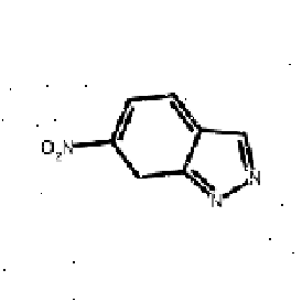 O=[N+]([O-])C1=CC=C2C=NN=C2C1